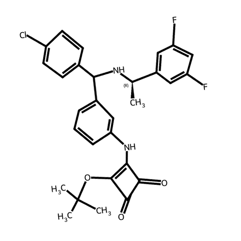 C[C@@H](NC(c1ccc(Cl)cc1)c1cccc(Nc2c(OC(C)(C)C)c(=O)c2=O)c1)c1cc(F)cc(F)c1